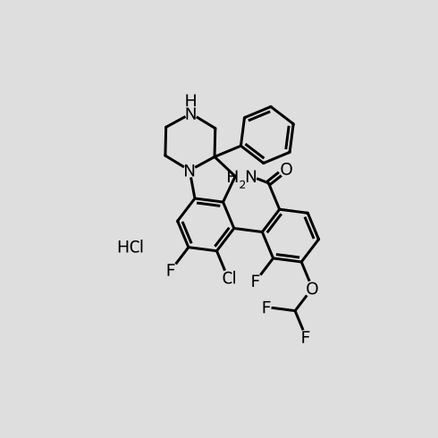 Cl.NC(=O)c1ccc(OC(F)F)c(F)c1-c1c(Cl)c(F)cc2c1CC1(c3ccccc3)CNCCN21